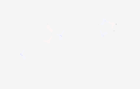 Cc1cncc(COC(=O)NCc2ccc(-c3noc(C(F)(F)F)n3)cc2)c1